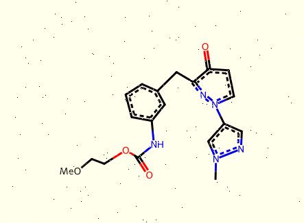 COCCOC(=O)Nc1cccc(Cc2nn(-c3cnn(C)c3)ccc2=O)c1